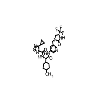 CC1CCC([C@@H](NC(=O)c2nonc2C2CC2)C(=O)Nc2cncc(CN3C[C@@H](C(F)(F)F)NC3=O)c2)CC1